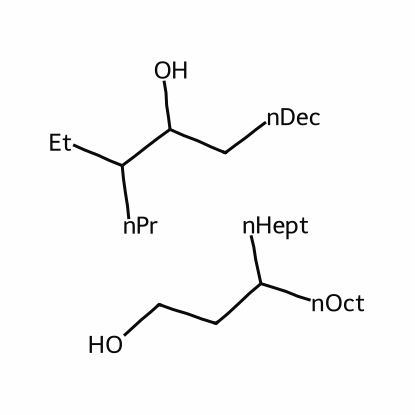 CCCCCCCCC(CCO)CCCCCCC.CCCCCCCCCCCC(O)C(CC)CCC